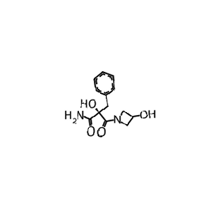 NC(=O)[C@](O)(Cc1ccccc1)C(=O)N1CC(O)C1